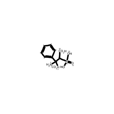 NC(C(=O)O)(c1ccccc1)C(C(=O)O)P(=O)(O)O